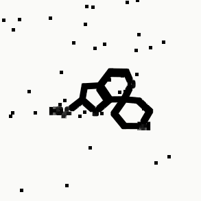 O=C(O)C1CC2=C(S1)C1(CCNCC1)OC=C2